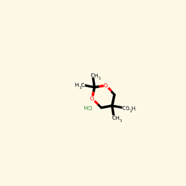 CC1(C)OCC(C)(C(=O)O)CO1.Cl